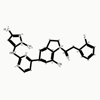 Cc1cc(Nc2nccc(-c3cc(C#N)c4c(c3)CCN4C(=O)Cc3ccccc3F)n2)n(C)n1